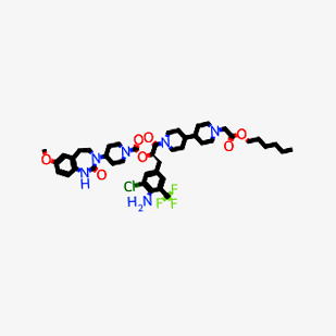 CCCCCCOC(=O)CN1CCC(C2CCN(C(=O)[C@@H](Cc3cc(Cl)c(N)c(C(F)(F)F)c3)OC(=O)N3CCC(N4CCc5cc(OC)ccc5NC4=O)CC3)CC2)CC1